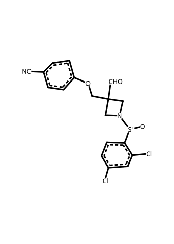 N#Cc1ccc(OCC2(C=O)CN([S+]([O-])c3ccc(Cl)cc3Cl)C2)cc1